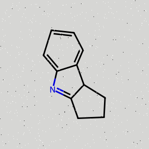 c1ccc2c(c1)N=C1CCCC12